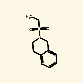 CCS(=O)(=O)N1CCc2ccccc2C1